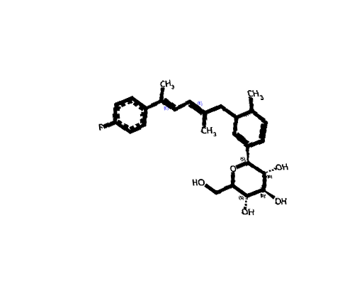 C/C(=C\C=C(/C)c1ccc(F)cc1)CC1C=C([C@@H]2OC(CO)[C@@H](O)[C@H](O)[C@H]2O)C=CC1C